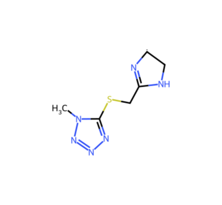 Cn1nnnc1SCC1=N[CH]CN1